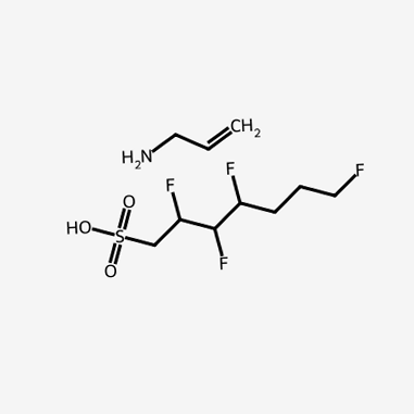 C=CCN.O=S(=O)(O)CC(F)C(F)C(F)CCCF